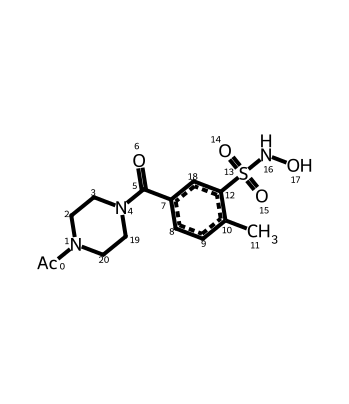 CC(=O)N1CCN(C(=O)c2ccc(C)c(S(=O)(=O)NO)c2)CC1